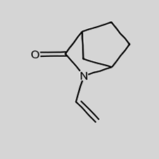 C=CN1C(=O)C2CCC1C2